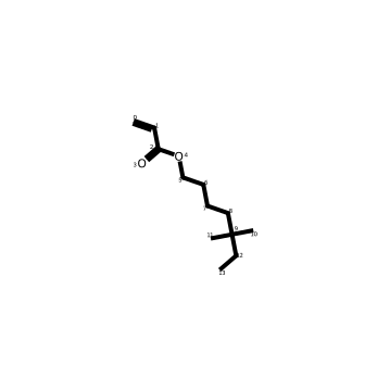 C=CC(=O)OCCCCC(C)(C)CC